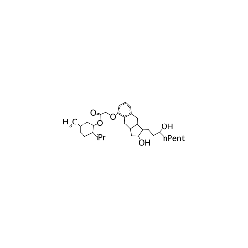 CCCCCC(O)CCC1C(O)CC2Cc3c(cccc3OCC(=O)OC3CC(C)CCC3C(C)C)CC21